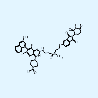 CCC(=O)N1CCN(c2nc(NCCC(=O)N(C)CCOc3ccc4c(c3)C(=O)N(C3CCC(=O)NC3=O)C4=O)nc3c(F)c(-c4cc(O)cc5ccccc45)c(Cl)cc23)CC1